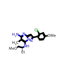 CC[C@H](COC)Nc1c(C)c(N)nc2cc(-c3ccc(OC)cc3Cl)nn12